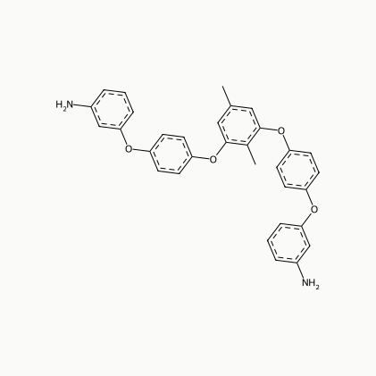 Cc1cc(Oc2ccc(Oc3cccc(N)c3)cc2)c(C)c(Oc2ccc(Oc3cccc(N)c3)cc2)c1